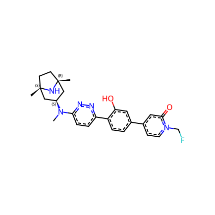 CN(c1ccc(-c2ccc(-c3ccn(CF)c(=O)c3)cc2O)nn1)[C@H]1C[C@]2(C)CC[C@](C)(C1)N2